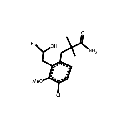 CCC(O)Cc1c(CC(C)(C)C(N)=O)ccc(Cl)c1OC